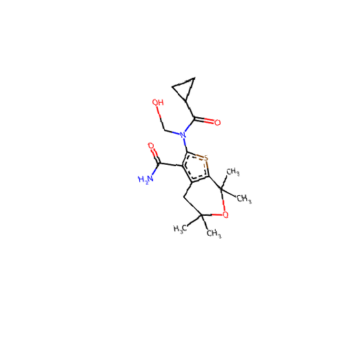 CC1(C)Cc2c(sc(N(CO)C(=O)C3CC3)c2C(N)=O)C(C)(C)O1